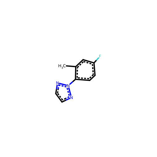 Cc1cc(F)ccc1-n1nccn1